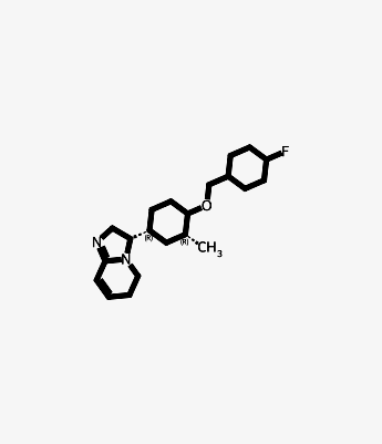 C[C@@H]1C[C@H](C2CN=C3C=CCCN32)CCC1OCC1CCC(F)CC1